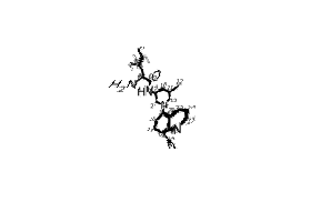 CC[C@H](C)[C@H](N)C(=O)NC1CC(C)CN(c2ccc(C#N)c3ncccc23)C1